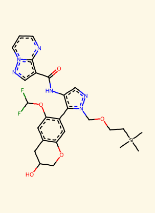 C[Si](C)(C)CCOCn1ncc(NC(=O)c2cnn3cccnc23)c1-c1cc2c(cc1OC(F)F)CC(O)CO2